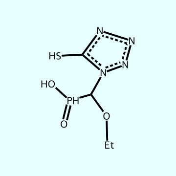 CCOC(n1nnnc1S)[PH](=O)O